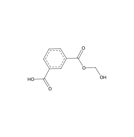 O=C(O)c1cccc(C(=O)OCO)c1